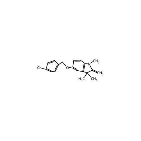 C=C1N(C)c2ccc(OCc3ccc(Cl)cc3)cc2C1(C)C